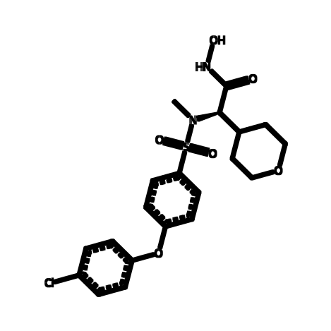 CN([C@@H](C(=O)NO)C1CCOCC1)S(=O)(=O)c1ccc(Oc2ccc(Cl)cc2)cc1